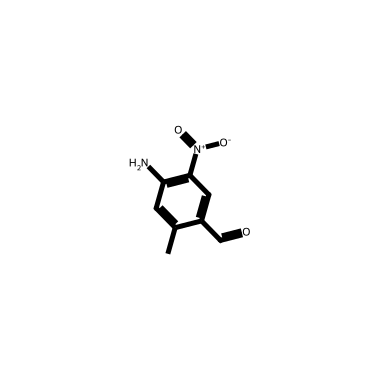 Cc1cc(N)c([N+](=O)[O-])cc1[C]=O